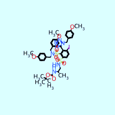 COc1ccc(CN(Cc2ccc(OC)cc2)S(=O)(=O)c2c(S(=O)(=O)NCC(C)NC(=O)OC(C)(C)C)ccc(I)c2-c2nnnn2Cc2ccc(OC)cc2)cc1